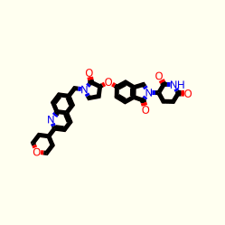 O=C1CCC(N2Cc3cc(OC4CCN(Cc5ccc6nc(C7CCOCC7)ccc6c5)C4=O)ccc3C2=O)C(=O)N1